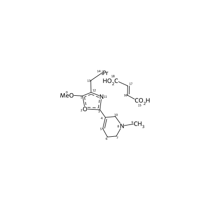 COc1oc(C2=CCCN(C)C2)nc1CC(C)C.O=C(O)C=CC(=O)O